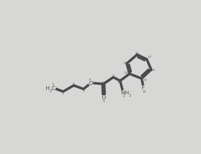 CCCCOC(=O)CC(N)c1ccccc1F